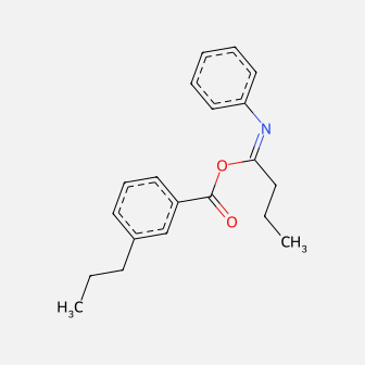 CCCC(=Nc1ccccc1)OC(=O)c1cccc(CCC)c1